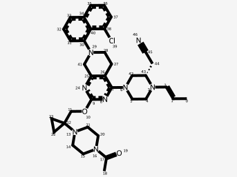 CC=CN1CCN(c2nc(OCC3(N4CCN(C(C)=O)CC4)CC3)nc3c2CCN(c2cccc4cccc(Cl)c24)C3)C[C@@H]1CC#N